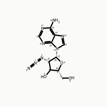 [N-]=[N+]=N[C@H]1C(O)[C@@H](CO)O[C@H]1n1cnc2c(N)ncnc21